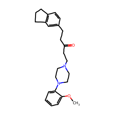 COc1ccccc1N1CCN(CCC(=O)CCc2ccc3c(c2)CCC3)CC1